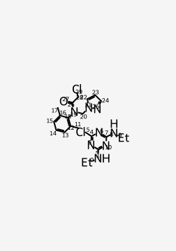 CCNc1nc(Cl)nc(NCC)n1.Cc1cccc(C)c1N(Cn1cccn1)C(=O)CCl